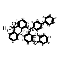 CC1(C)c2ccccc2Sc2c(N(c3ccc(-c4ccccc4)cc3)c3cccc4c3Oc3ccccc3S4)cccc21